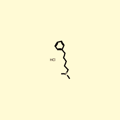 CP(C)CCCCCc1ccccc1.Cl